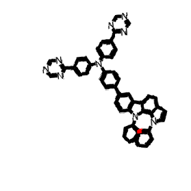 c1ccc(-n2ccc3ccc4c5cc(-c6ccc(N(c7ccc(-c8ncncn8)cc7)c7ccc(-c8ncncn8)cc7)cc6)ccc5n(-c5ccccc5)c4c32)cc1